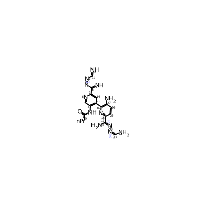 CCCC(=O)Nc1cnc(C(=N)/N=N\C=N)cc1-c1nc(/C(N)=N/N=C\N)ccc1N